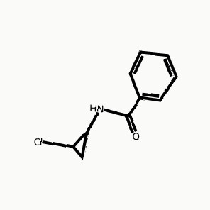 O=C(NC1CC1Cl)c1ccccc1